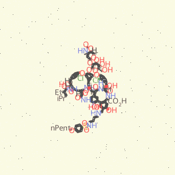 CCCCCOc1ccc(S(=O)(=O)NCCCCNCc2c(O)cc3c(c2O)-c2cc(ccc2O)[C@H]2CC(=O)[C@@H]4NC(=O)[C@H](CC(N)=O)CC(=O)[C@H](NC(=O)[C@H](CC)CC(C)C)[C@H](O)c5ccc(c(Cl)c5)Oc5cc4cc(c5O[C@@H]4O[C@H](CO)[C@@H](O)[C@H](O)[C@H]4O[C@H]4C[C@]5(C)NC(=O)O[C@@H]5[C@H](C)O4)Oc4ccc(cc4Cl)[C@@H](O)[C@H](NC2=O)C(=O)N[C@@H]3C(=O)O)cc1